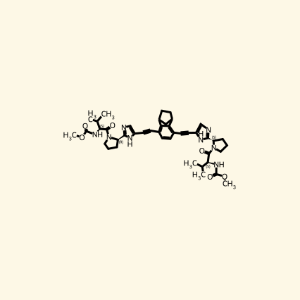 COC(=O)N[C@H](C(=O)N1CCC[C@@H]1c1ncc(C#Cc2ccc(C#Cc3cnc([C@@H]4CCCN4C(=O)[C@@H](NC(=O)OC)C(C)C)[nH]3)c3c2C2CCC3C2)[nH]1)C(C)C